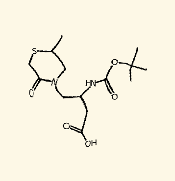 CC1CN(C[C@H](CC(=O)O)NC(=O)OC(C)(C)C)C(=O)CS1